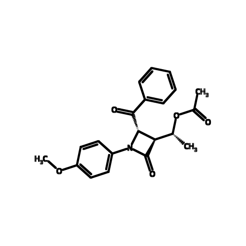 COc1ccc(N2C(=O)[C@H]([C@@H](C)OC(C)=O)[C@H]2C(=O)c2ccccc2)cc1